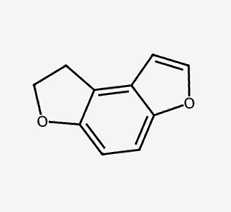 c1cc2c3c(ccc2o1)OCC3